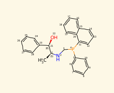 C[C@H](NCP(c1ccccc1)c1cccc2ccccc12)[C@H](O)c1ccccc1